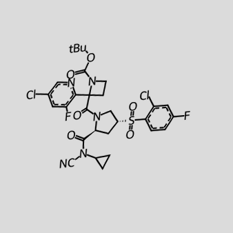 CC(C)(C)OC(=O)N1CCC1(C(=O)N1C[C@H](S(=O)(=O)c2ccc(F)cc2Cl)C[C@H]1C(=O)N(C#N)C1CC1)c1ncc(Cl)cc1F